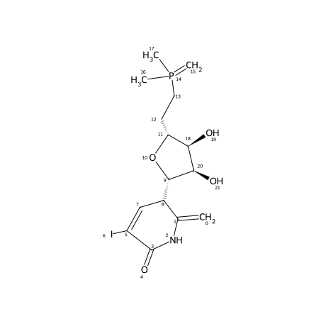 C=C1NC(=O)C(I)=CC1[C@@H]1O[C@H](CCP(=C)(C)C)[C@@H](O)[C@H]1O